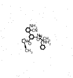 CC#CC1CCCN1C(=O)c1cc(-c2nnc([C@](C)(N)Cc3ccccc3)o2)cc(-c2cccc(N)c2C#N)c1